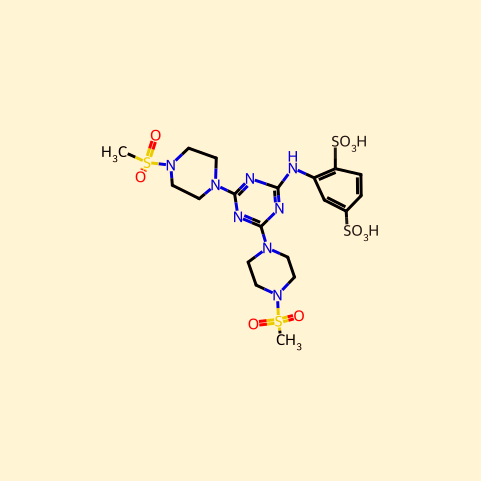 CS(=O)(=O)N1CCN(c2nc(Nc3cc(S(=O)(=O)O)ccc3S(=O)(=O)O)nc(N3CCN(S(C)(=O)=O)CC3)n2)CC1